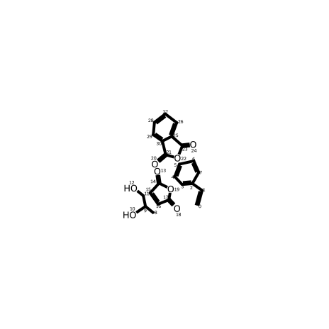 C=Cc1ccccc1.CC(O)CO.O=C1C=CC(=O)O1.O=C1OC(=O)c2ccccc21